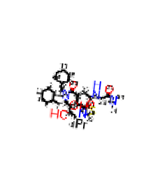 CC(C)C[C@H](O)[C@H](O)[C@H](CC1CCCCC1)N(CC1CCCCC1)C(=O)[C@@H](CC(=O)NCC(=O)N(C)C)Cc1cscn1